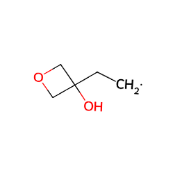 [CH2]CC1(O)COC1